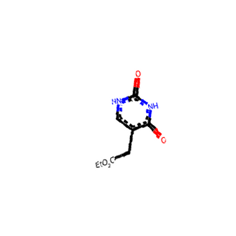 CCOC(=O)Cc1c[nH]c(=O)[nH]c1=O